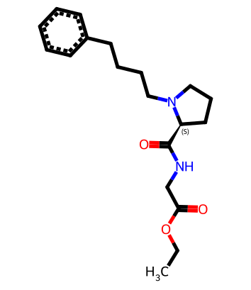 CCOC(=O)CNC(=O)[C@@H]1CCCN1CCCCc1ccccc1